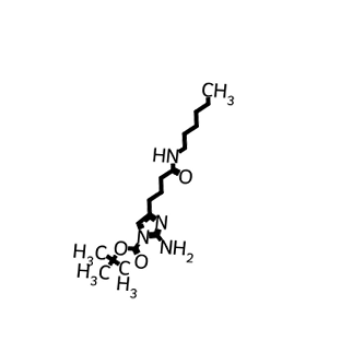 CCCCCCNC(=O)CCCc1cn(C(=O)OC(C)(C)C)c(N)n1